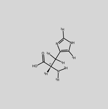 [2H]c1nc(C([2H])([2H])[C@@]([2H])(C(=O)O)N([2H])[2H])c([2H])[nH]1